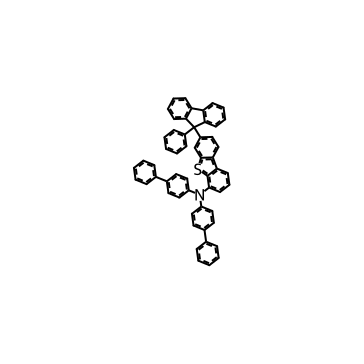 c1ccc(-c2ccc(N(c3ccc(-c4ccccc4)cc3)c3cccc4c3sc3cc(C5(c6ccccc6)c6ccccc6-c6ccccc65)ccc34)cc2)cc1